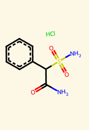 Cl.NC(=O)C(c1ccccc1)S(N)(=O)=O